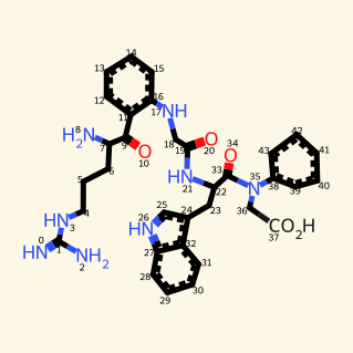 N=C(N)NCCCC(N)C(=O)c1ccccc1NCC(=O)NC(Cc1c[nH]c2ccccc12)C(=O)N(CC(=O)O)c1ccccc1